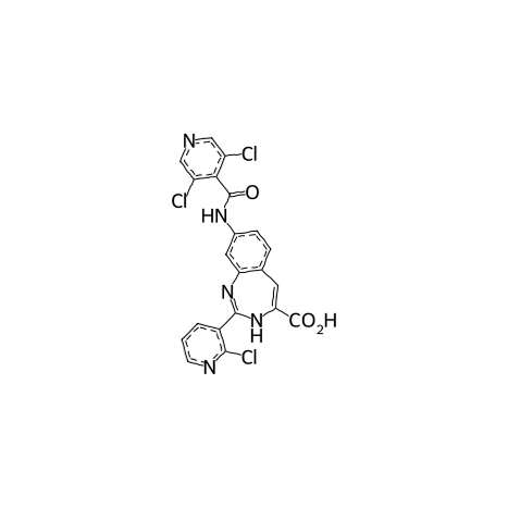 O=C(O)C1=Cc2ccc(NC(=O)c3c(Cl)cncc3Cl)cc2N=C(c2cccnc2Cl)N1